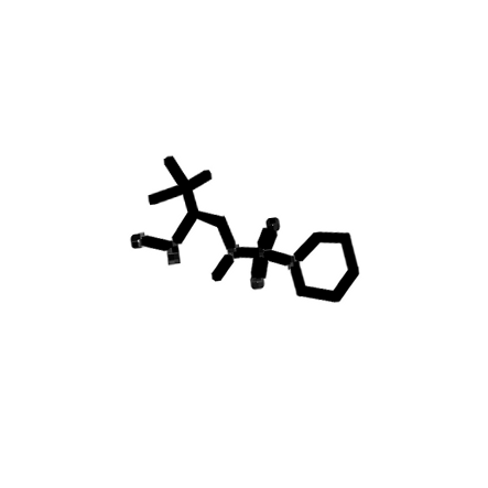 CN(C[C@@H](NCl)C(C)(C)C)S(=O)(=O)N1CCCCC1